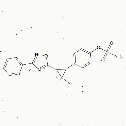 CC1(C)C(c2ccc(OS(N)(=O)=O)cc2)C1c1nc(-c2ccccc2)no1